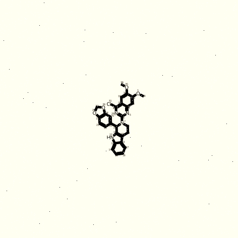 COc1cc2nc(N3CCc4c([nH]c5ccccc45)C3c3ccc4c(c3)OCO4)nc(Cl)c2cc1OC